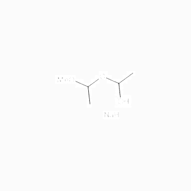 COC(C)OC(C)O.[NaH]